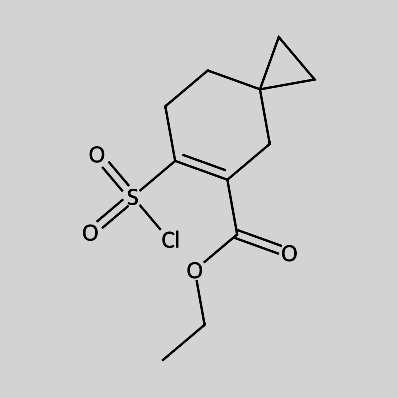 CCOC(=O)C1=C(S(=O)(=O)Cl)CCC2(CC2)C1